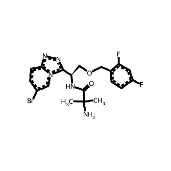 CC(C)(N)C(=O)N[C@H](COCc1ccc(F)cc1F)c1nnc2ccc(Br)cn12